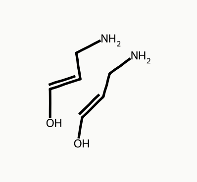 NCC=CO.NCC=CO